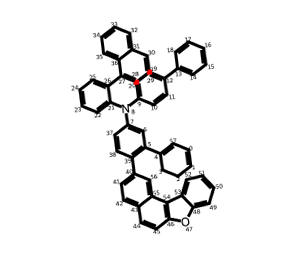 C1=CCCC(c2cc(N(c3ccc(-c4ccccc4)cc3)c3ccccc3-c3cccc4ccccc34)ccc2-c2ccc3ccc4oc5ccccc5c4c3c2)=C1